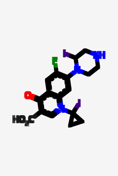 O=C(O)c1cn(C2(I)CC2)c2cc(N3CCNCC3I)c(F)cc2c1=O